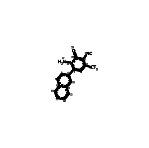 [C-]#[N+]c1c(C(F)(F)F)cc(-c2ccc3ccccc3c2)n(N)c1=O